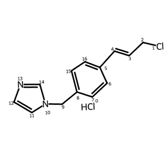 Cl.ClC/C=C/c1ccc(Cn2ccnc2)cc1